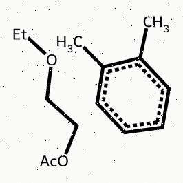 CCOCCOC(C)=O.Cc1ccccc1C